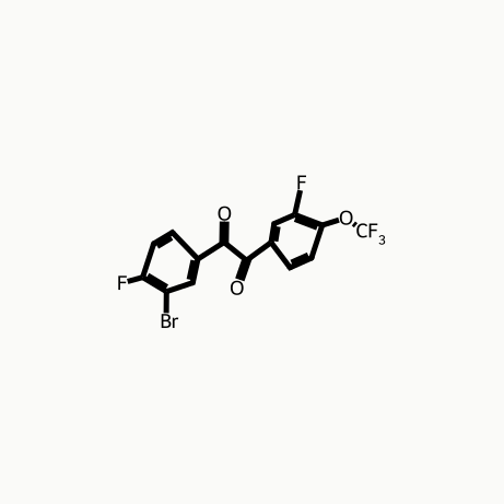 O=C(C(=O)c1ccc(F)c(Br)c1)c1ccc(OC(F)(F)F)c(F)c1